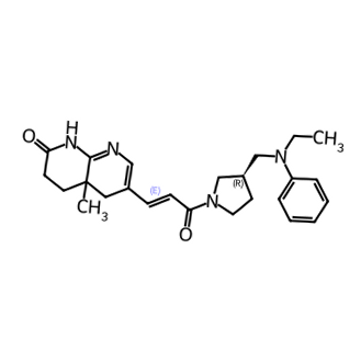 CCN(C[C@H]1CCN(C(=O)/C=C/C2=CN=C3NC(=O)CCC3(C)C2)C1)c1ccccc1